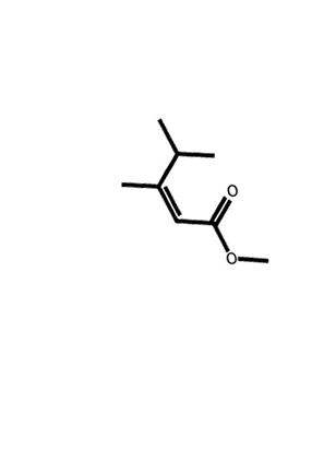 COC(=O)C=C(C)C(C)C